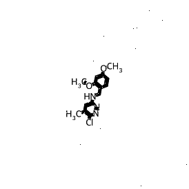 COc1ccc(CNc2cc(C)c(Cl)nn2)c(OC)c1